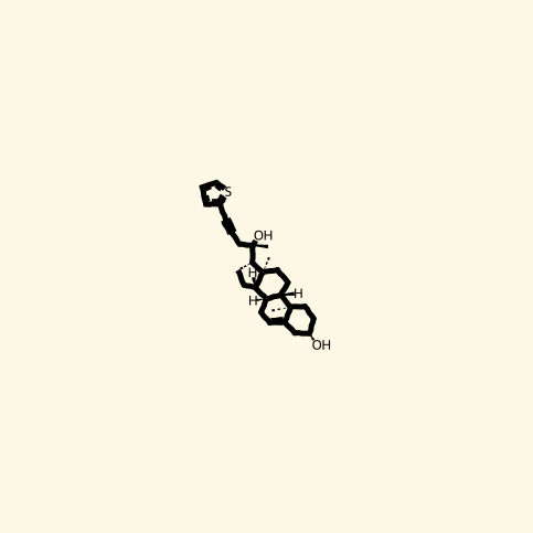 C[C@]12CC[C@H]3[C@@H](CC=C4C[C@@H](O)CC[C@@]43C)[C@@H]1CC[C@@H]2[C@@](C)(O)CC#Cc1cccs1